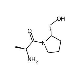 C[C@H](N)C(=O)N1CCC[C@H]1CO